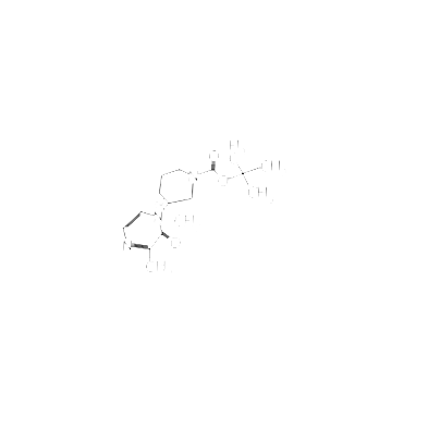 Cc1nccn([C@@]2(C)CCCN(C(=O)OC(C)(C)C)C2)c1=O